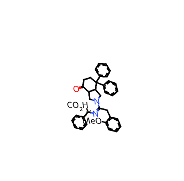 COc1ccccc1CC(=N[C@H](C(=O)O)c1ccccc1)N1CC2C(=O)CCC(c3ccccc3)(c3ccccc3)C2C1